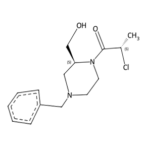 C[C@H](Cl)C(=O)N1CCN(Cc2ccccc2)C[C@H]1CO